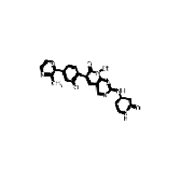 CCn1c(=O)c(-c2ccc(-c3nccnc3C)cc2Cl)cc2cnc(NC3CCNC(=O)C3)nc21